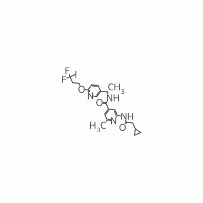 Cc1cc(C(=O)NC(C)c2ccc(OCCC(F)(F)I)nc2)cc(NC(=O)CC2CC2)n1